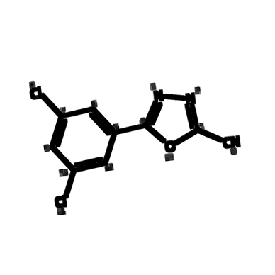 N#Cc1nnc(-c2cc(Cl)cc(Cl)c2)o1